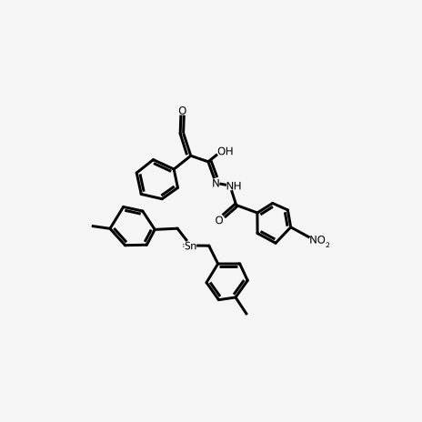 Cc1ccc([CH2][Sn][CH2]c2ccc(C)cc2)cc1.O=C=C(C(O)=NNC(=O)c1ccc([N+](=O)[O-])cc1)c1ccccc1